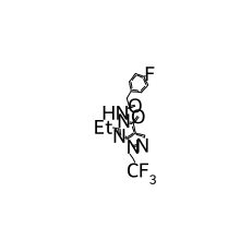 CCc1nc2c(cnn2CCC(F)(F)F)c(=O)n1NC(=O)Cc1ccc(F)cc1